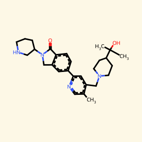 Cc1cnc(-c2ccc3c(c2)CN(C2CCCNC2)C3=O)cc1CN1CCC(C(C)(C)O)CC1